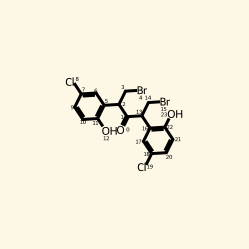 O=C(C(CBr)c1cc(Cl)ccc1O)C(CBr)c1cc(Cl)ccc1O